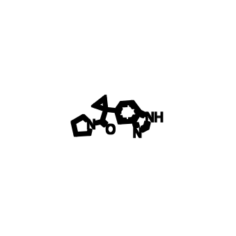 O=C(N1CCCC1)C1(c2ccc3[nH]cnc3c2)CC1